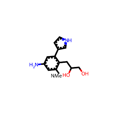 CNc1cc(N)cc(-c2cc[nH]c2)c1CC(O)CO